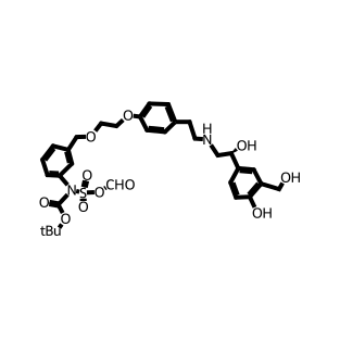 CC(C)(C)OC(=O)N(c1cccc(COCCOc2ccc(CCNC[C@@H](O)c3ccc(O)c(CO)c3)cc2)c1)S(=O)(=O)OC=O